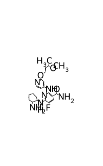 COC(C)CCOc1cc(Nc2nc(NC3CCCCC3N)c(F)cc2C(N)=O)ccn1